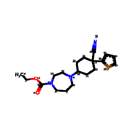 CCOC(=O)N1CCCN(C2CCC(C#N)(c3cccs3)CC2)CC1